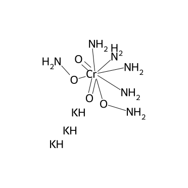 N[O][Cr]([NH2])([NH2])([NH2])([NH2])(=[O])(=[O])[O]N.[KH].[KH].[KH]